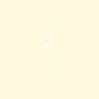 CCS(=O)(=O)N(Cc1cccnc1)c1cccc(Cc2cccs2)c1